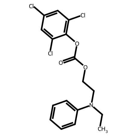 CCN(CCOC(=O)Oc1c(Cl)cc(Cl)cc1Cl)c1ccccc1